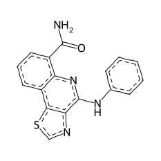 NC(=O)c1cccc2c1nc(Nc1ccccc1)c1ncsc12